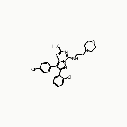 Cc1nc(NCCN2CCOCC2)n2nc(-c3ccccc3Cl)c(-c3ccc(Cl)cc3)c2n1